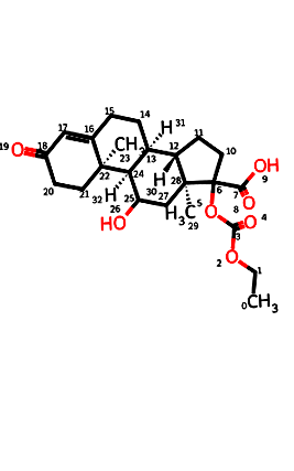 CCOC(=O)OC1(C(=O)O)CC[C@H]2[C@@H]3CCC4=CC(=O)CC[C@]4(C)[C@@H]3C(O)C[C@@]21C